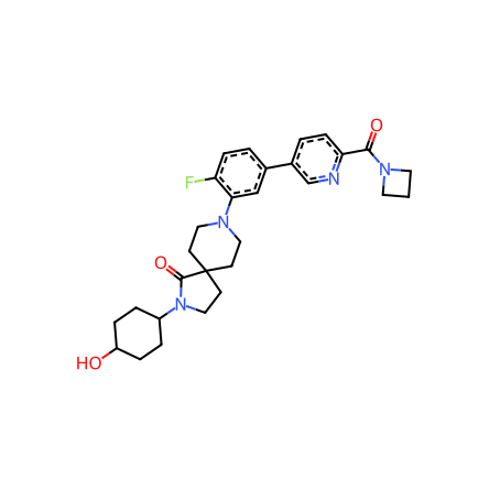 O=C(c1ccc(-c2ccc(F)c(N3CCC4(CC3)CCN(C3CCC(O)CC3)C4=O)c2)cn1)N1CCC1